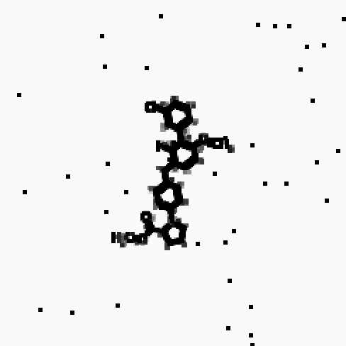 COC(=O)[C@@H]1CCCN1c1ccc(Cc2ccc(OC)c(-c3cccc(Cl)c3)c2F)cn1